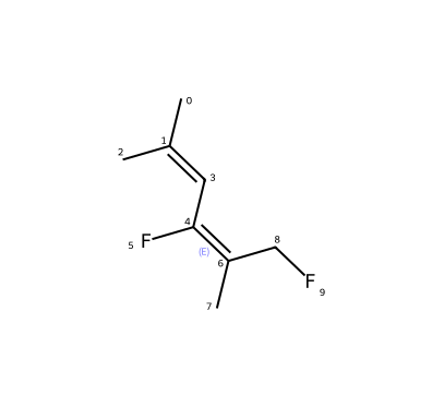 CC(C)=C/C(F)=C(/C)CF